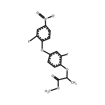 COC(=O)C(C)Oc1ccc(Oc2ccc([N+](=O)[O-])cc2F)cc1F